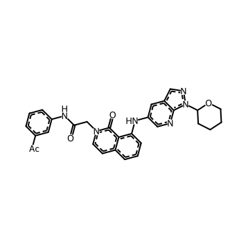 CC(=O)c1cccc(NC(=O)Cn2ccc3cccc(Nc4cnc5c(cnn5C5CCCCO5)c4)c3c2=O)c1